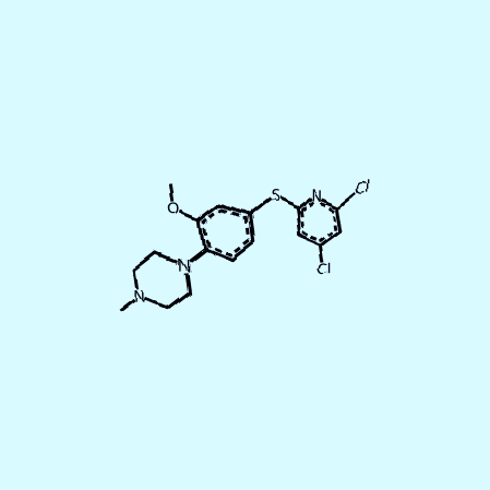 COc1cc(Sc2cc(Cl)cc(Cl)n2)ccc1N1CCN(C)CC1